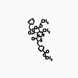 CCOC(=O)C1=C(C)N=c2sc(=Cc3ccc(C(=O)OC)cc3)c(=O)n2C1C1=COC(Cc2ccccc2)O1